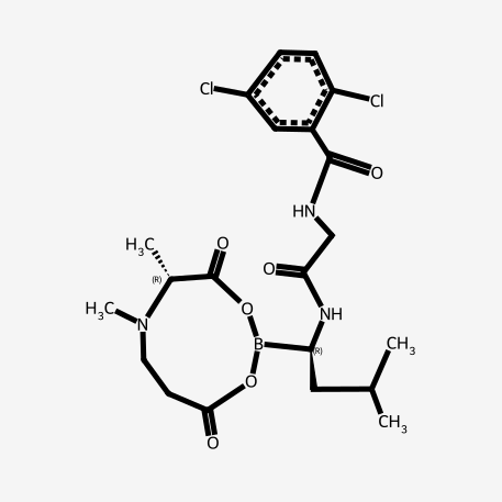 CC(C)C[C@H](NC(=O)CNC(=O)c1cc(Cl)ccc1Cl)B1OC(=O)CCN(C)[C@H](C)C(=O)O1